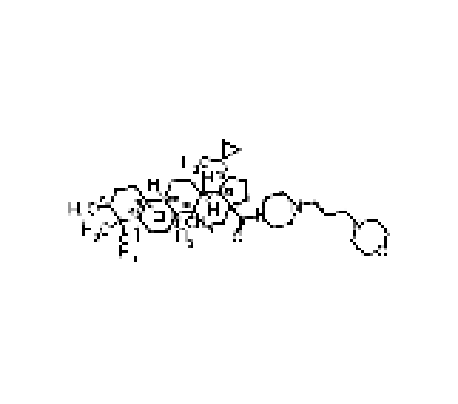 C[C@H]1CC[C@]2(C)[C@H]3CC[C@@H]4[C@H]5[C@H](C6(C)CC6)CC[C@]5(C(=O)N5CCN(CCCN6CCOCC6)CC5)CC[C@@]4(C)[C@]3(C)CC[C@H]2C1(C)C